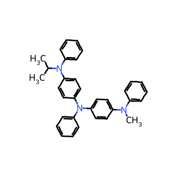 CC(C)N(c1ccccc1)c1ccc(N(c2ccccc2)c2ccc(N(C)c3ccccc3)cc2)cc1